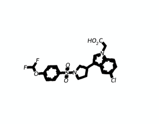 O=C(O)Cn1cc(C2CCN(S(=O)(=O)c3ccc(OC(F)F)cc3)C2)c2cc(Cl)ccc21